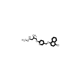 CONCC(C)COc1ccc(COc2ccc(Cl)c3ccccc23)cn1